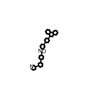 c1cncc(-c2cccc(-c3ccc(-c4nc5ccc(-c6ccc(-c7cc8ccccc8c8ccccc78)cc6)cc5o4)cc3)c2)c1